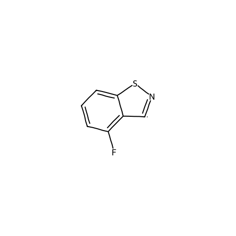 Fc1cccc2sn[c]c12